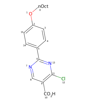 CCCCCCCCOc1ccc(-c2ncc(C(=O)O)c(Cl)n2)cc1